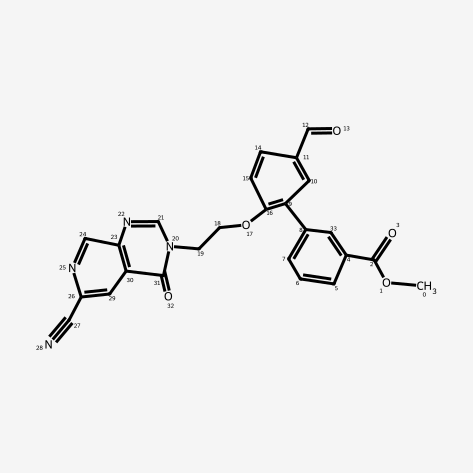 COC(=O)c1cccc(-c2cc(C=O)ccc2OCCn2cnc3cnc(C#N)cc3c2=O)c1